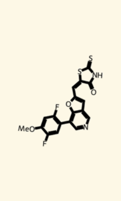 COc1cc(F)c(-c2cncc3cc(C=C4SC(=S)NC4=O)oc23)cc1F